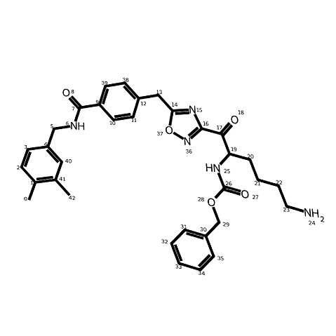 Cc1ccc(CNC(=O)c2ccc(Cc3nc(C(=O)C(CCCCN)NC(=O)OCc4ccccc4)no3)cc2)cc1C